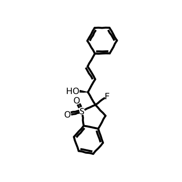 O=S1(=O)c2ccccc2CC1(F)[C@@H](O)/C=C/c1ccccc1